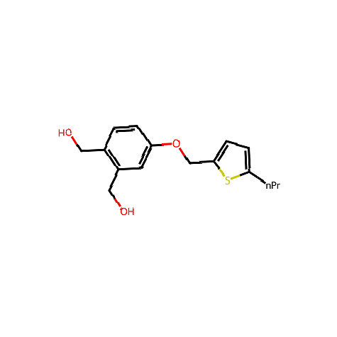 CCCc1ccc(COc2ccc(CO)c(CO)c2)s1